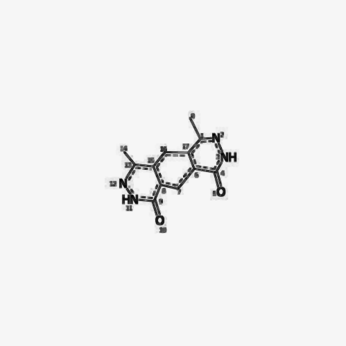 Cc1n[nH]c(=O)c2cc3c(=O)[nH]nc(C)c3cc12